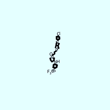 O=C(CCCN1CC2CN(c3ccc(Cl)cc3)CC2C1)N1CCC[C@H](Nc2ccc(SC(F)(F)F)cc2)C1